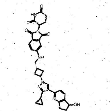 O=C1CCC(N2C(=O)c3ccc(NC[C@H]4C[C@H](n5cc(-c6ccc7c(n6)CCC7O)c(C6CC6)n5)C4)cc3C2=O)C(=O)N1